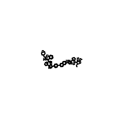 CCC(C)C(NC(=O)OC)C(=O)N1CCCC1c1ncc(-c2ccc3cc(-c4ccc(-c5cnc(C6CCCN6C(=O)C(NC(=O)CC6CCOCC6)c6ccccc6)[nH]5)cc4)ccc3c2)[nH]1